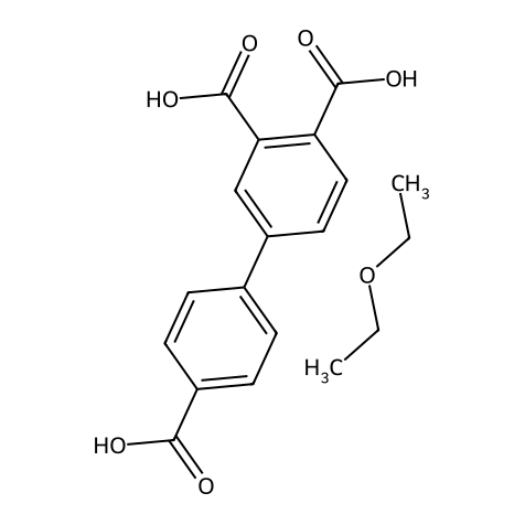 CCOCC.O=C(O)c1ccc(-c2ccc(C(=O)O)c(C(=O)O)c2)cc1